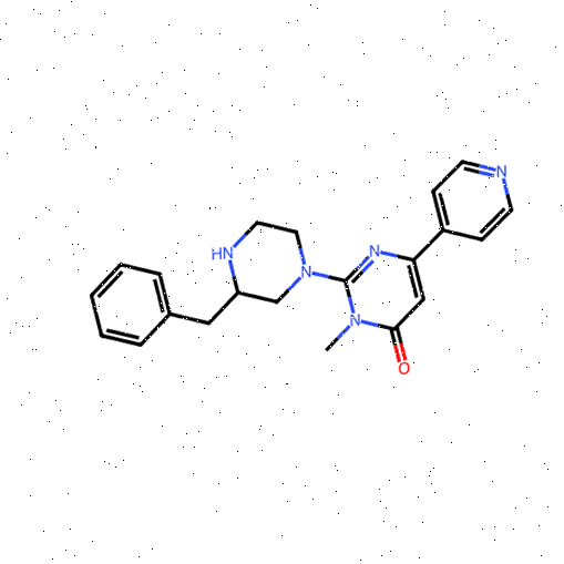 Cn1c(N2CCNC(Cc3ccccc3)C2)nc(-c2ccncc2)cc1=O